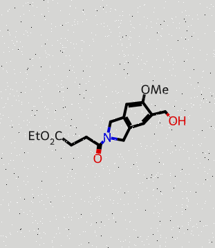 CCOC(=O)CCC(=O)N1Cc2cc(CO)c(OC)cc2C1